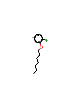 CCCCCCCOc1c[c]ccc1F